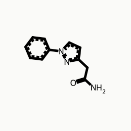 NC(=O)Cc1ccn(-c2ccccc2)n1